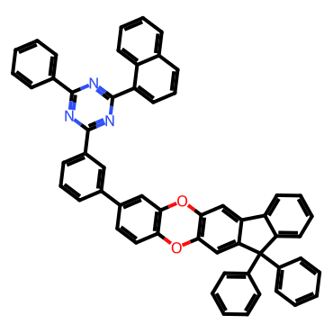 c1ccc(-c2nc(-c3cccc(-c4ccc5c(c4)Oc4cc6c(cc4O5)C(c4ccccc4)(c4ccccc4)c4ccccc4-6)c3)nc(-c3cccc4ccccc34)n2)cc1